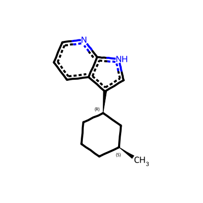 C[C@H]1CCC[C@@H](c2c[nH]c3ncccc23)C1